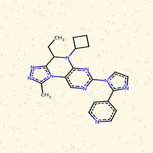 CCC1c2nnc(C)n2-c2cnc(-n3ccnc3-c3ccncc3)nc2N1C1CCC1